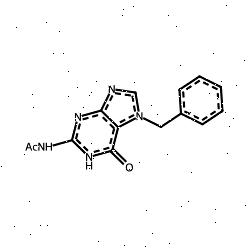 CC(=O)Nc1nc2ncn(Cc3ccccc3)c2c(=O)[nH]1